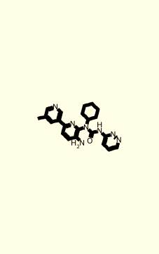 Cc1cncc(-c2ccc(N)c(N(C(=O)Nc3cccnn3)C3CCCCC3)n2)c1